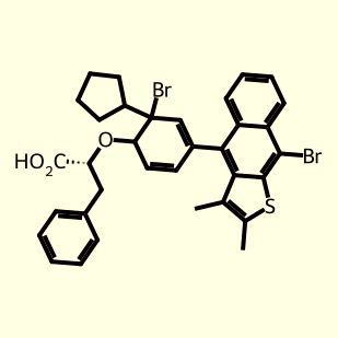 Cc1sc2c(Br)c3ccccc3c(C3=CC(Br)(C4CCCC4)C(O[C@H](Cc4ccccc4)C(=O)O)C=C3)c2c1C